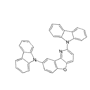 c1ccc2c(c1)c1ccccc1n2-c1ccc2oc3ccc(-n4c5ccccc5c5ccccc54)nc3c2c1